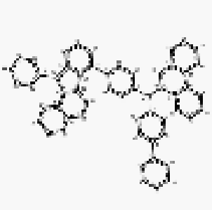 c1ccc(-c2ccc(N(c3ccc(-c4cccc5c(-c6ccccc6)c6c7ccccc7ccc6n45)cc3)c3cc4ccccc4c4ccccc34)cc2)cc1